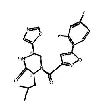 CC(C)C[C@H]1C(=O)N[C@@H](c2cnco2)CN1C(=O)c1cc(-c2ccc(F)cc2F)on1